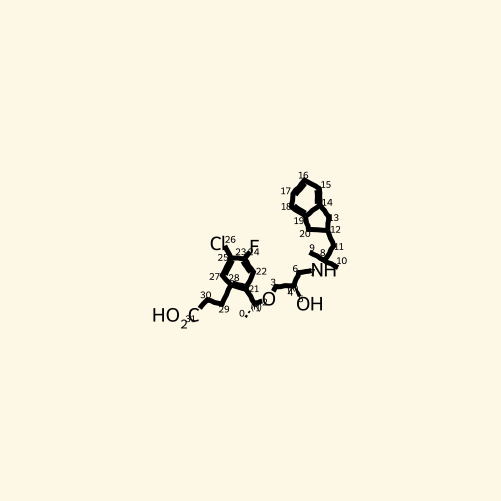 C[C@@H](OC[C@H](O)CNC(C)(C)CC1Cc2ccccc2C1)c1cc(F)c(Cl)cc1CCC(=O)O